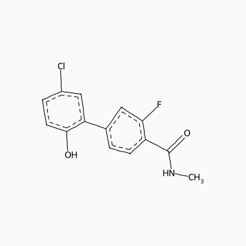 CNC(=O)c1ccc(-c2cc(Cl)ccc2O)cc1F